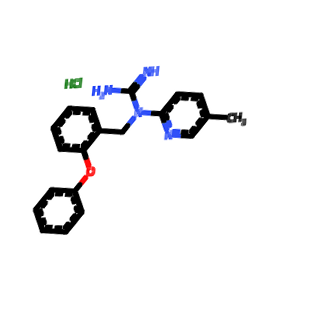 Cc1ccc(N(Cc2ccccc2Oc2ccccc2)C(=N)N)nc1.Cl